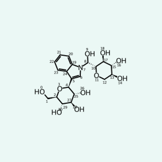 OC[C@H]1O[C@@H](c2cn(C(O)[C@H]3OC[C@H](O)[C@@H](O)[C@@H]3O)c3ccccc23)[C@H](O)[C@@H](O)[C@@H]1O